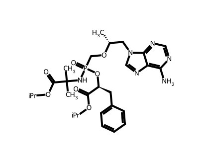 CC(C)OC(=O)[C@H](Cc1ccccc1)OP(=O)(CO[C@H](C)Cn1cnc2c(N)ncnc21)NC(C)(C)C(=O)OC(C)C